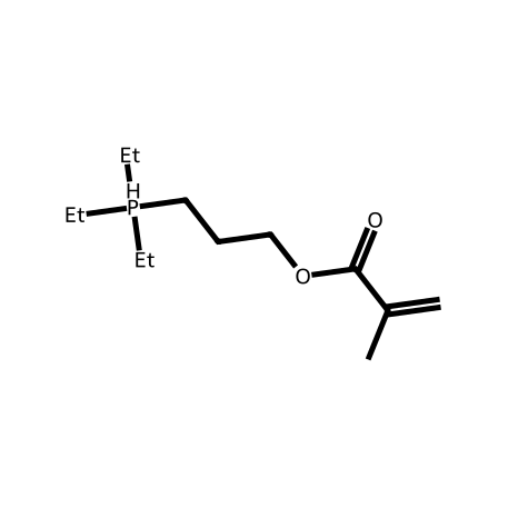 C=C(C)C(=O)OCCC[PH](CC)(CC)CC